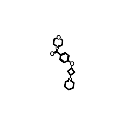 O=C(c1ccc(O[C@H]2C[C@H](N3CCCCC3)C2)cc1)N1CCOCC1